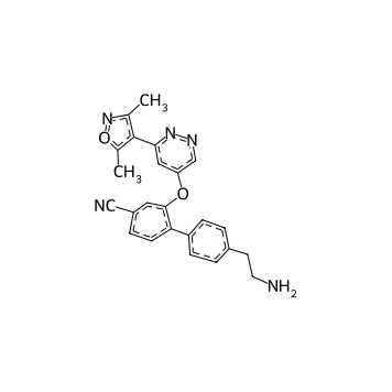 Cc1noc(C)c1-c1cc(Oc2cc(C#N)ccc2-c2ccc(CCN)cc2)cnn1